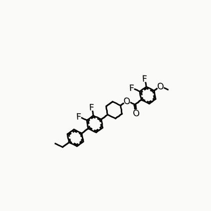 CCc1ccc(-c2ccc(C3CCC(OC(=O)c4ccc(OC)c(F)c4F)CC3)c(F)c2F)cc1